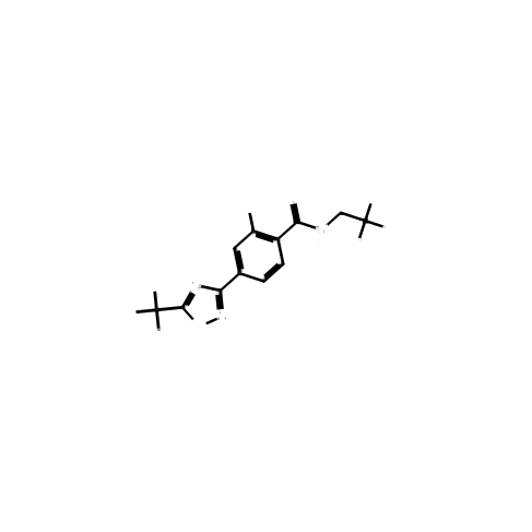 CC(C)(O)CNC(=O)c1ccc(-c2noc(C(F)(F)F)n2)cc1F